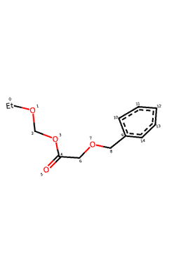 CCOCOC(=O)COCc1ccccc1